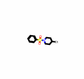 CCC1CCN(S(=O)(=O)c2ccccc2)CC1